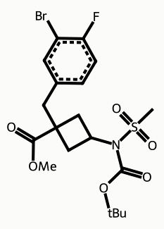 COC(=O)C1(Cc2ccc(F)c(Br)c2)CC(N(C(=O)OC(C)(C)C)S(C)(=O)=O)C1